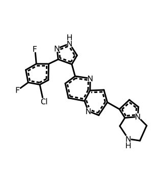 Fc1cc(F)c(-c2n[nH]cc2-c2ccc3ncc(-c4ccn5c4CNCC5)cc3n2)cc1Cl